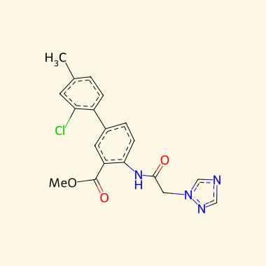 COC(=O)c1cc(-c2ccc(C)cc2Cl)ccc1NC(=O)Cn1cncn1